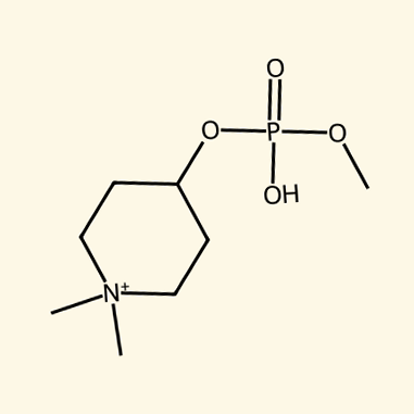 COP(=O)(O)OC1CC[N+](C)(C)CC1